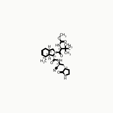 COC(=O)N[C@H](C(=O)N1C[C@@H]2CC=C[C@@H](C)[C@@H]2[C@H]1C(=O)N[C@H](C#N)C[C@@H]1CCNC1=O)C(C)(C)C